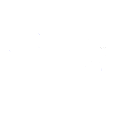 CN/C(C)=C(/CCOc1cc(Cl)ccc1-c1ccc2ncc(CCN)n2c1)C(=N)C(=O)N(C)C